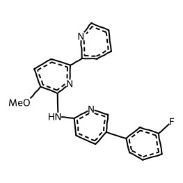 COc1ccc(-c2ccccn2)nc1Nc1ccc(-c2cccc(F)c2)cn1